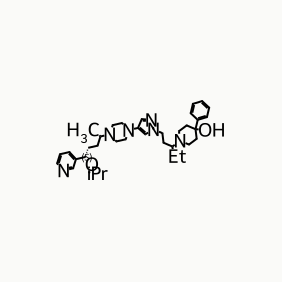 CCC(CCn1cc(N2CCN(C(C)CC[C@H](OC(C)C)c3cccnc3)CC2)cn1)N1CCC(O)(c2ccccc2)CC1